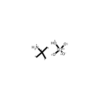 CC(C)(C)N.[O-][Cl+3]([O-])([O-])O